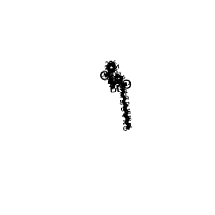 CCCCCCCCCCCCOC(=O)C1CCn2c(C(=O)c3ccccc3)cc(Br)c21